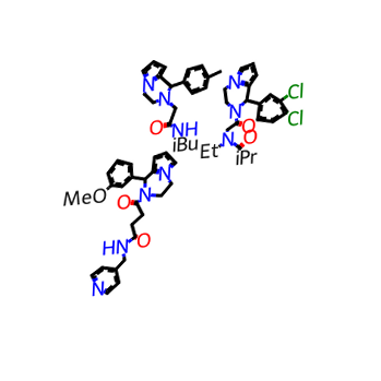 CCC(C)NC(=O)CN1CCn2cccc2C1c1ccc(C)cc1.CCN(CC(=O)N1CCn2cccc2C1c1ccc(Cl)c(Cl)c1)C(=O)C(C)C.COc1cccc(C2c3cccn3CCN2C(=O)CCC(=O)NCc2ccncc2)c1